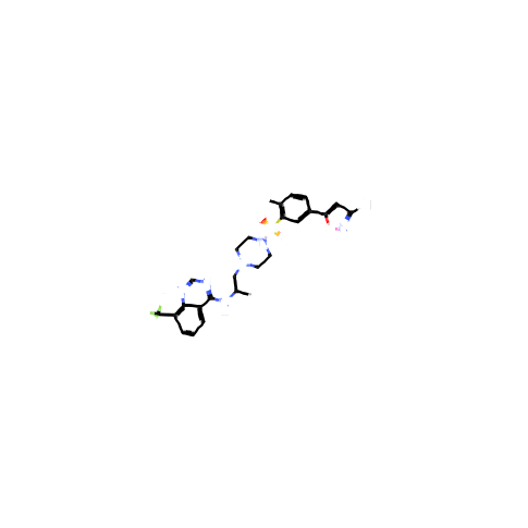 Cc1cc(-c2ccc(C)c(S(=O)(=O)N3CCN(CC(C)Nc4ncnc5c(C(F)(F)F)cccc45)CC3)c2)on1